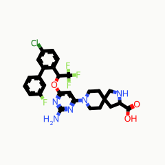 Nc1nc(OC(c2ccc(Cl)cc2-c2cccc(F)c2)C(F)(F)F)cc(N2CCC3(CC2)CNC(C(=O)O)C3)n1